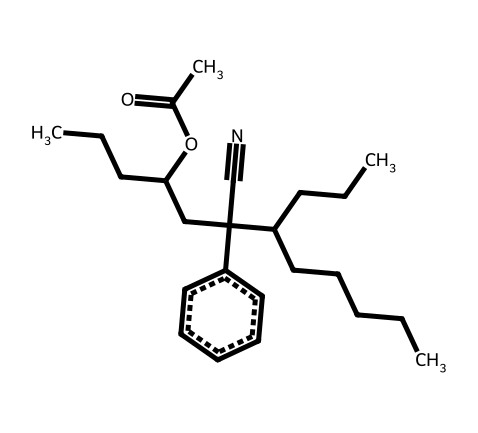 CCCCCC(CCC)C(C#N)(CC(CCC)OC(C)=O)c1ccccc1